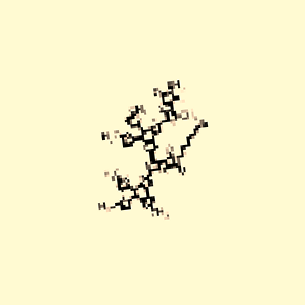 Cc1ccc(-c2c(-c3ccc(C)s3)c3sc(-c4sc(-c5cc6c(s5)c(-c5ccc(C)s5)c(-c5ccc(C)s5)c5sc(-c7sc(C)c8c9c(sc78)C(=O)N(C)C9=O)cc56)c5c6c(sc45)C(=O)N(CCCCCCBr)C6=O)cc3c3cc(C)sc23)s1